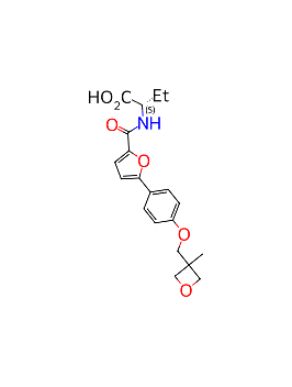 CC[C@H](NC(=O)c1ccc(-c2ccc(OCC3(C)COC3)cc2)o1)C(=O)O